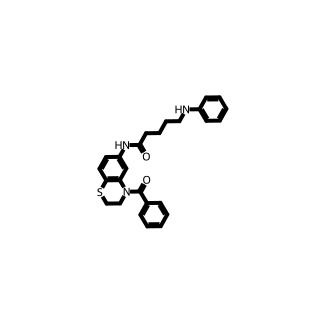 O=C(CCCCNc1ccccc1)Nc1ccc2c(c1)N(C(=O)c1ccccc1)CCS2